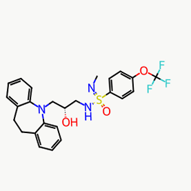 CN=[S@@](=O)(NC[C@H](O)CN1c2ccccc2CCc2ccccc21)c1ccc(OC(F)(F)F)cc1